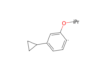 CC(C)Oc1[c]ccc(C2CC2)c1